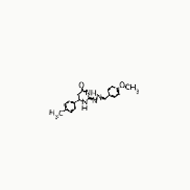 COc1ccc(C=NN=C2NC(=O)CC(c3ccc(C)cc3)N2)cc1